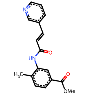 COC(=O)c1ccc(C)c(NC(=O)/C=C/c2cccnc2)c1